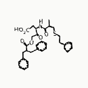 CC(CSCCc1ccccc1)C(=O)NC(CC(=O)O)C(=O)COC(=O)C(Cc1ccccc1)Cc1ccccc1